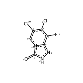 O=c1[nH]nc2c(F)c(Cl)c(Cl)cn12